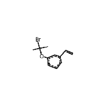 C=Cc1cccc(OC(C)(C)Br)c1